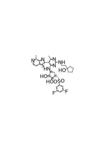 Cc1nc(NCCC2(O)CCCC2)nc(N[C@@H]2C[C@H](CS(=O)(=O)c3cc(F)cc(F)c3)[C@@H](O)[C@H]2O)c1-c1nc2c(C)nccc2s1